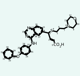 O=C(O)C=CC(SCCCN1CCOCC1)c1ccc2ncnc(Nc3ccc(Oc4ccccc4)cc3)c2c1